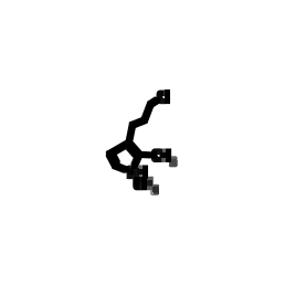 CC1=C(CCCCl)C=C[SiH]1C